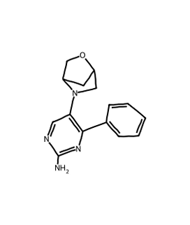 Nc1ncc(N2CC3CC2CO3)c(-c2ccccc2)n1